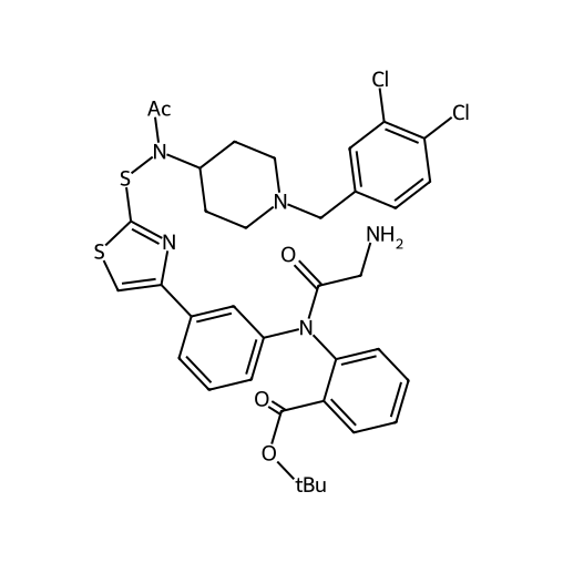 CC(=O)N(Sc1nc(-c2cccc(N(C(=O)CN)c3ccccc3C(=O)OC(C)(C)C)c2)cs1)C1CCN(Cc2ccc(Cl)c(Cl)c2)CC1